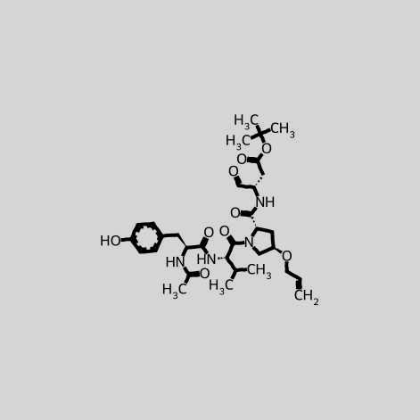 C=CCO[C@@H]1C[C@@H](C(=O)N[C@H](C=O)CC(=O)OC(C)(C)C)N(C(=O)[C@@H](NC(=O)[C@H](Cc2ccc(O)cc2)NC(C)=O)C(C)C)C1